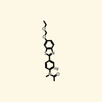 CCOCOc1ccc2nc(-c3ccc(N(C)C(C)=O)c([18F])c3)sc2c1